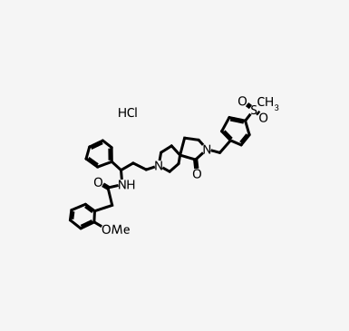 COc1ccccc1CC(=O)NC(CCN1CCC2(CC1)CCN(Cc1ccc(S(C)(=O)=O)cc1)C2=O)c1ccccc1.Cl